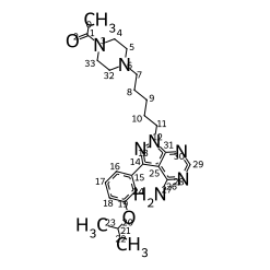 CC(=O)N1CCN(CCCCCn2nc(-c3cccc(OC(C)C)c3)c3c(N)ncnc32)CC1